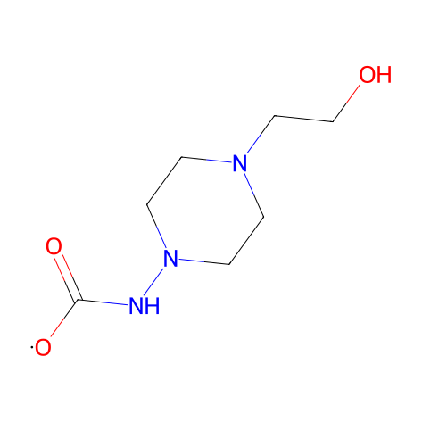 [O]C(=O)NN1CCN(CCO)CC1